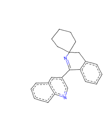 c1ccc2c(c1)CC1(CCCCC1)N=C2c1cnc2ccccc2c1